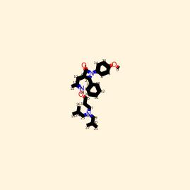 COc1ccc(N2C(=O)/C(=C/C(C)=NOCCCN(CC(C)C)CC(C)C)C2c2ccccc2)cc1